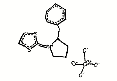 [O-][Cl+3]([O-])([O-])[O-].c1ccc(C2CCC[N+]2=c2sccs2)cc1